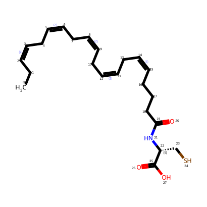 CC/C=C\C/C=C\C/C=C\C/C=C\C/C=C\CCCC(=O)N[C@H](CS)C(=O)O